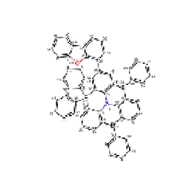 c1ccc(B2c3cccc4c3N3c5c2cccc5[Si](c2ccccc2)(c2ccccc2)c2cc(-c5cccc6c5oc5ccccc56)cc(c23)B4c2ccccc2)cc1